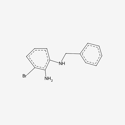 Nc1c(Br)cccc1NCc1ccccc1